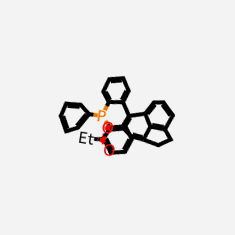 CCC(=O)Oc1cc2c3c(cccc3c1-c1ccccc1P(c1ccccc1)c1ccccc1)CC2